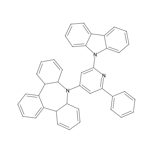 C1=CC2c3ccccc3C3C=CC=CC3N(c3cc(-c4ccccc4)nc(-n4c5ccccc5c5ccccc54)c3)C2C=C1